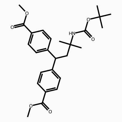 COC(=O)c1ccc(C(CC(C)(C)NC(=O)OC(C)(C)C)c2ccc(C(=O)OC)cc2)cc1